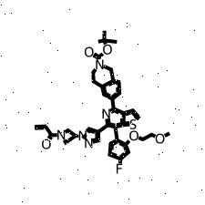 C=CC(=O)N1CC(n2cc(-c3nc(-c4ccc5c(c4)CCN(C(=O)OC(C)(C)C)C5)c4ccsc4c3-c3ccc(F)cc3OCCOC)cn2)C1